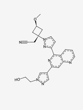 CO[C@H]1C[C@](CC#N)(n2ccc(-c3nc(-c4cnn(CCO)c4)cc4ncccc34)n2)C1